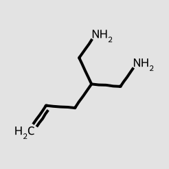 C=CCC(CN)CN